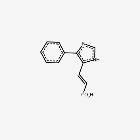 O=C(O)C=Cc1[nH]cnc1-c1ccccc1